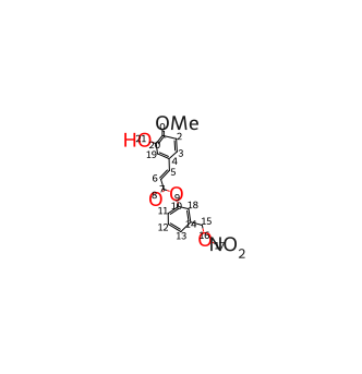 COc1ccc(C=CC(=O)Oc2cccc(CO[N+](=O)[O-])c2)cc1O